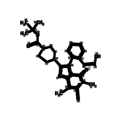 Cn1c(=O)c2c(nc(N3CCN(C(=O)OC(C)(C)C)CC3)n2-c2ccccc2/C=N\O)n(C)c1=O